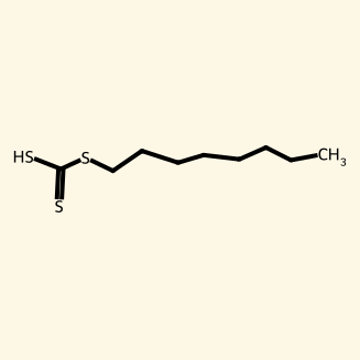 CCCCCCCCSC(=S)S